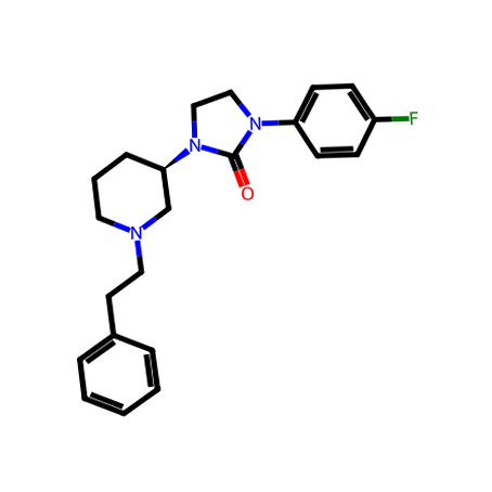 O=C1N(c2ccc(F)cc2)CCN1[C@@H]1CCCN(CCc2ccccc2)C1